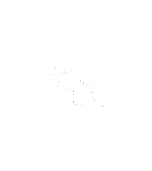 Cc1cnc(O[Si](C)(C)C)nc1